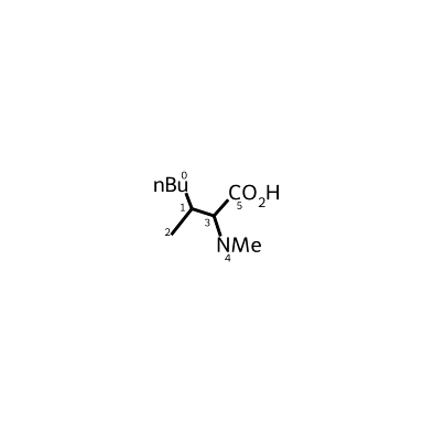 CCCCC(C)C(NC)C(=O)O